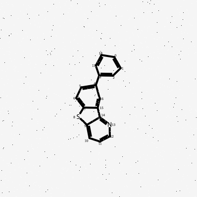 c1ccc(-c2ccc3sc4cccnc4c3c2)cc1